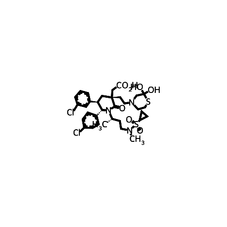 C[C@@H](CCN(C)S(=O)(=O)C1CC1)N1C(=O)[C@@](CCN2CCSC(O)(O)C2)(CC(=O)O)C[C@H](c2cccc(Cl)c2)[C@H]1c1ccc(Cl)cc1